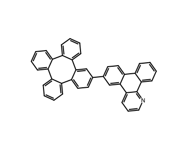 c1ccc2c(c1)-c1ccccc1-c1ccc(-c3ccc4c5ccccc5c5ncccc5c4c3)cc1-c1ccccc1-2